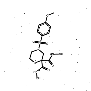 COc1ccc(S(=O)(=O)N2CCOC(C(=O)NO)(C(=O)NO)C2)cc1